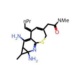 CCC/C=C1\C=C(CC(=O)NC)CSC2=NC3(N)C(C)C3C(N)=C21